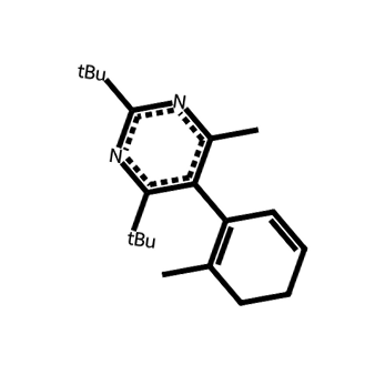 CC1=C(c2c(C)nc(C(C)(C)C)nc2C(C)(C)C)C=CCC1